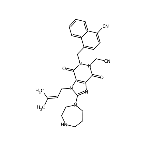 CC(C)=CCn1c(N2CCCNCC2)nc2c(=O)n(CC#N)n(Cc3ccc(C#N)c4ccccc34)c(=O)c21